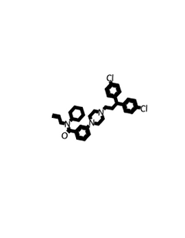 C=CCN(C(=O)c1cccc(N2CCN(CCC(c3ccc(Cl)cc3)c3ccc(Cl)cc3)CC2)c1)C1CCCCC1